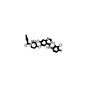 CC#CC(=O)N1CCC(Oc2cc3c(Nc4ccc(F)c(Cl)c4F)ncnc3cc2OC)CC1